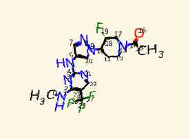 CNc1nc(Nc2cnn([C@@H]3CCN(C(C)=O)C[C@H]3F)c2)ncc1C(F)(F)F